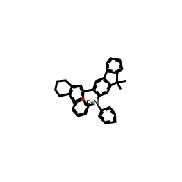 CC(C)c1cc2c(cc1-c1cc3c(cc1N(c1ccccc1)c1ccccc1)C(C)(C)c1ccccc1-3)CCCC2